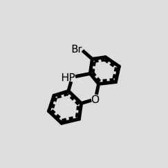 Brc1cccc2c1Pc1ccccc1O2